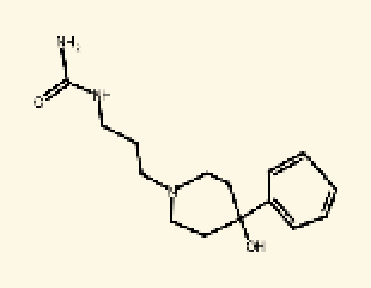 NC(=O)NCCCN1CCC(O)(c2ccccc2)CC1